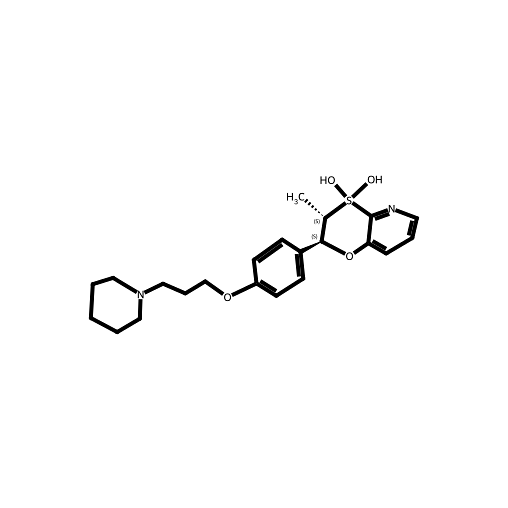 C[C@H]1[C@H](c2ccc(OCCCN3CCCCC3)cc2)Oc2cccnc2S1(O)O